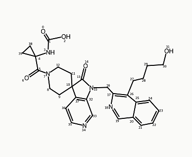 O=C(O)NC1(C(=O)N2CCC3(CC2)C(=O)N(Cc2ncc4ccccc4c2CCCCO)c2cnccc23)CC1